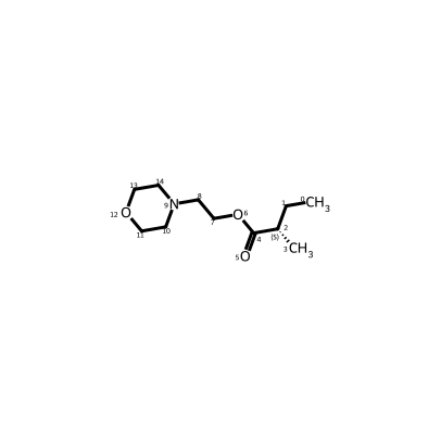 CC[C@H](C)C(=O)OCCN1CCOCC1